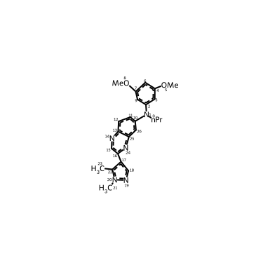 CCCN(c1cc(OC)cc(OC)c1)c1ccc2ncc(-c3cnn(C)c3C)nc2c1